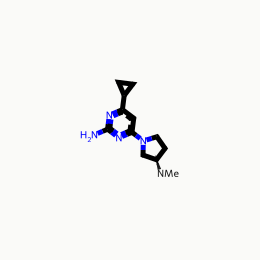 CN[C@@H]1CCN(c2cc(C3CC3)nc(N)n2)C1